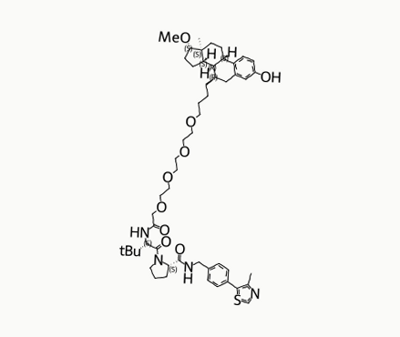 CO[C@H]1CC[C@H]2[C@@H]3[C@H](CCCCOCCOCCOCCOCC(=O)N[C@H](C(=O)N4CCC[C@H]4C(=O)NCc4ccc(-c5scnc5C)cc4)C(C)(C)C)Cc4cc(O)ccc4[C@H]3CC[C@]12C